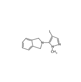 Cn1ncc(I)c1N1Cc2ccccc2C1